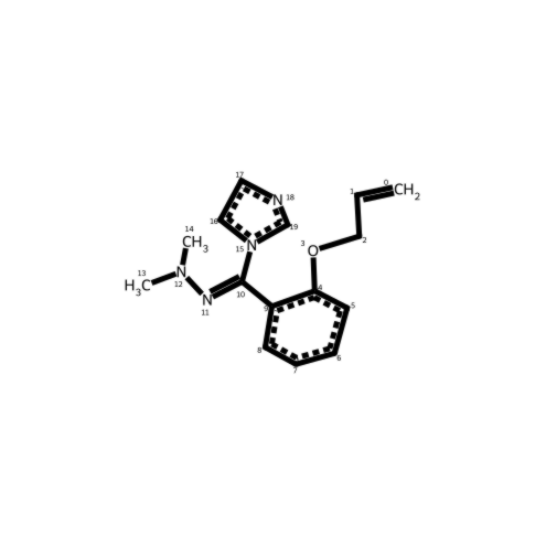 C=CCOc1ccccc1C(=NN(C)C)n1ccnc1